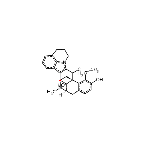 COc1c(O)ccc2c1[C@]13CCN(C)[C@H](C2)[C@]1(O)Cc1c(n2c4c(cccc14)CCC2)C3C